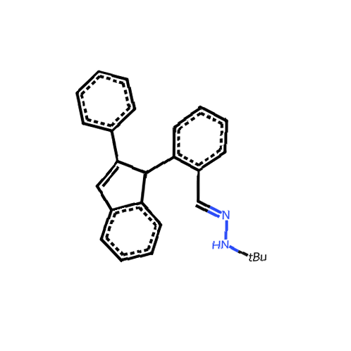 CC(C)(C)NN=Cc1ccccc1C1C(c2ccccc2)=Cc2ccccc21